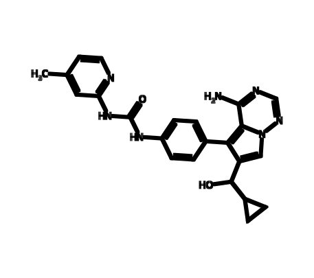 Cc1ccnc(NC(=O)Nc2ccc(-c3c(C(O)C4CC4)cn4ncnc(N)c34)cc2)c1